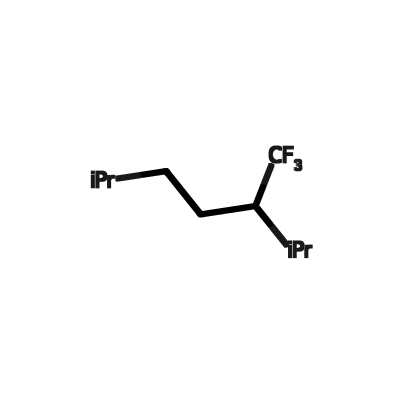 CC(C)CCC(C(C)C)C(F)(F)F